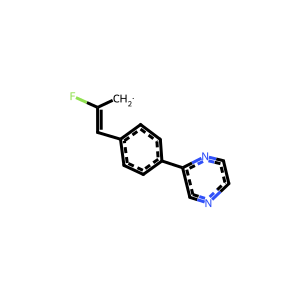 [CH2]/C(F)=C\c1ccc(-c2cnccn2)cc1